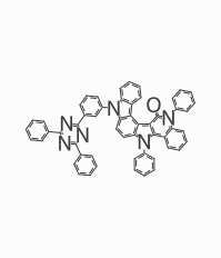 O=c1c2c3c4c5ccccc5n(-c5cccc(-c6nc(-c7ccccc7)nc(-c7ccccc7)n6)c5)c4ccc3n(-c3ccccc3)c2c2ccccc2n1-c1ccccc1